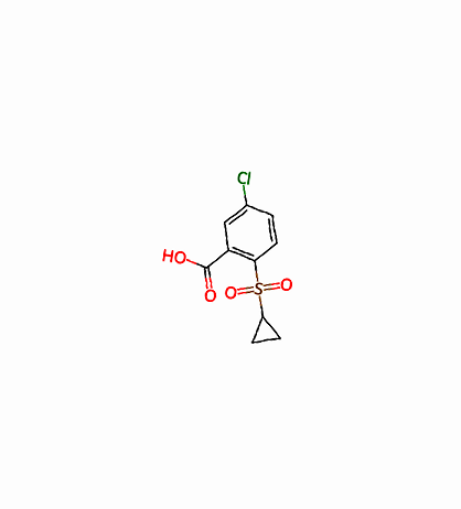 O=C(O)c1cc(Cl)ccc1S(=O)(=O)C1CC1